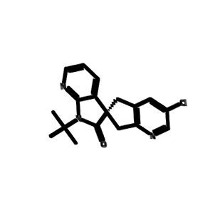 CC(C)(C)N1C(=O)[C@@]2(Cc3cc(Cl)cnc3C2)c2cccnc21